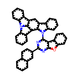 c1ccc2cc(-c3nc(-n4c5ccccc5c5cc6c7ccccc7n7c8ccccc8c(c54)c67)c4c(n3)oc3ccccc34)ccc2c1